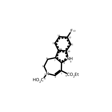 CCOC(=O)C1=CN(C(=O)O)CCc2c1[nH]c1cc(F)ccc21